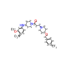 CCOc1cc(NC2CCN(C(=O)CCN3CCC(OCc4ccc(C(F)(F)F)cc4)CC3)CC2)ccc1[N+](=O)[O-]